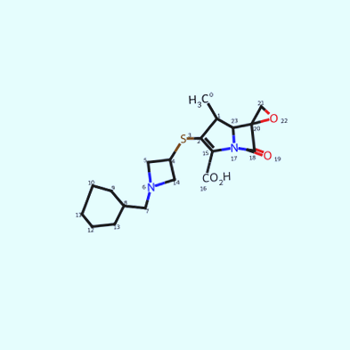 CC1C(SC2CN(CC3CCCCC3)C2)=C(C(=O)O)N2C(=O)C3(CO3)C12